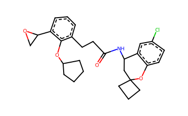 O=C(CCc1cccc(C2CO2)c1OC1CCCC1)NC1CC2(CCC2)Oc2ccc(Cl)cc21